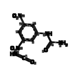 N=C=O.NC(=O)Nc1cc([N+](=O)[O-])cc([N+](=O)[O-])c1